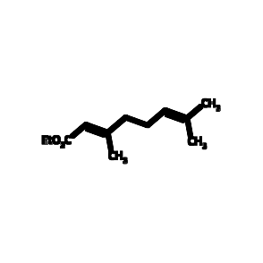 CCOC(=O)/C=C(\C)CCC=C(C)C